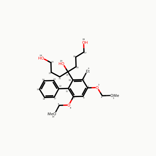 CCc1c(OCOC)cc(OCOC)c(-c2ccccc2)c1C(O)(CCCO)CCCO